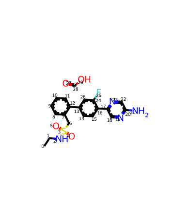 CCNS(=O)(=O)Cc1ccccc1-c1ccc(-c2cnc(N)cn2)c(F)c1.O=CO